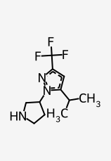 CC(C)c1cc(C(F)(F)F)nn1C1CCNC1